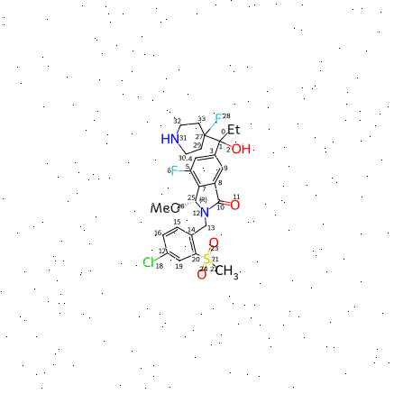 CCC(O)(c1cc(F)c2c(c1)C(=O)N(Cc1ccc(Cl)cc1S(C)(=O)=O)[C@@H]2OC)C1(F)CCNCC1